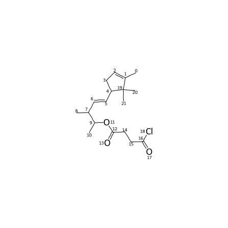 CC1=CCC(/C=C/C(C)C(C)OC(=O)CCC(=O)Cl)C1(C)C